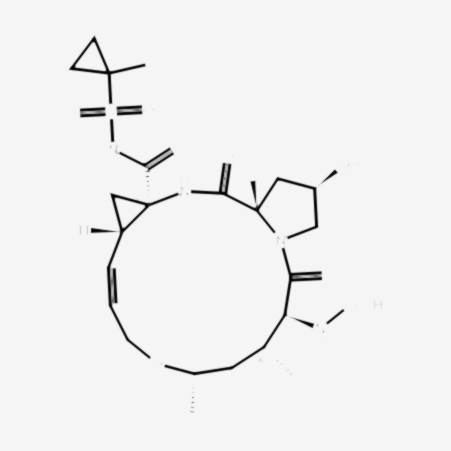 C[C@@H]1C[C@H](C)OC/C=C\[C@@H]2C[C@@]2(C(=O)NS(=O)(=O)C2(C)CC2)NC(=O)[C@@H]2C[C@@H](O)CN2C(=O)[C@H]1NC(=O)O